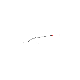 CC(C)C(CCCCCCCCCCCCCCCCO)C(=O)O